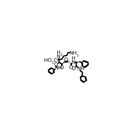 NCCCC[C@@](N)(C(=O)O)C(ONc1ccccc1)C(=O)[C@H]1O[C@@H]1C(=O)N[C@@H](Cc1ccccc1)C(=O)NCCc1ccccc1